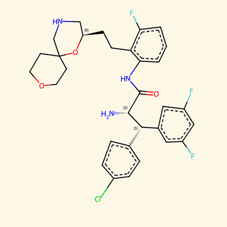 N[C@H](C(=O)Nc1cccc(F)c1CC[C@@H]1CNCC2(CCOCC2)O1)[C@@H](c1ccc(Cl)cc1)c1cc(F)cc(F)c1